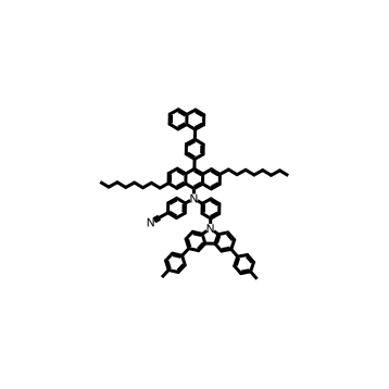 CCCCCCCCc1ccc2c(N(c3ccc(C#N)cc3)c3cccc(-n4c5ccc(-c6ccc(C)cc6)cc5c5cc(-c6ccc(C)cc6)ccc54)c3)c3cc(CCCCCCCC)ccc3c(-c3ccc(-c4cccc5ccccc45)cc3)c2c1